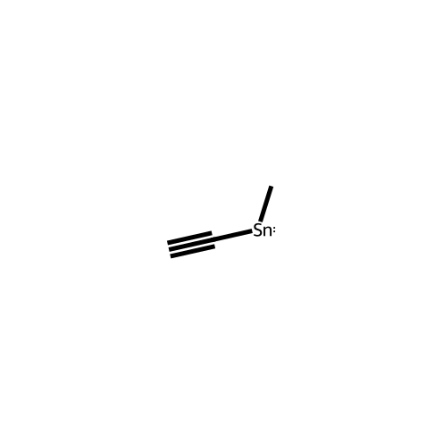 C#[C][Sn][CH3]